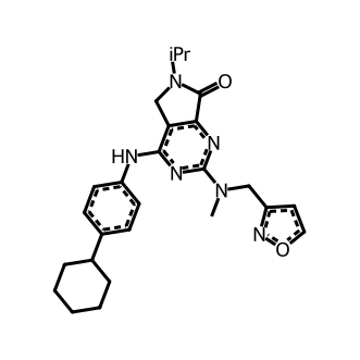 CC(C)N1Cc2c(Nc3ccc(C4CCCCC4)cc3)nc(N(C)Cc3ccon3)nc2C1=O